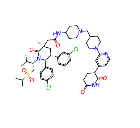 CC(C)[C@@H](CS(=O)(=O)C(C)C)N1C(=O)[C@@](C)(CC(=O)NC2CCN(CC3CCN(c4cc(C5CCC(=O)NC5=O)ccn4)CC3)CC2)C[C@H](c2cccc(Cl)c2)[C@H]1c1ccc(Cl)cc1